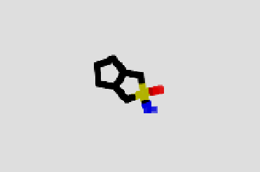 N=S1(=O)CC2CCCC2C1